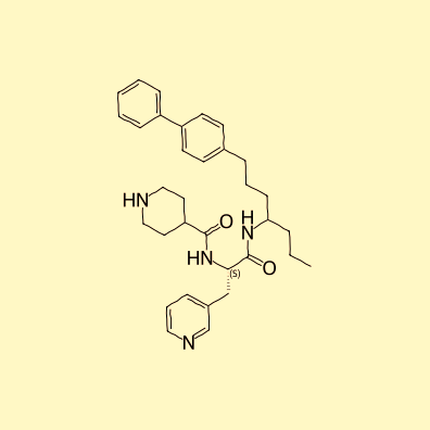 CCCC(CCCc1ccc(-c2ccccc2)cc1)NC(=O)[C@H](Cc1cccnc1)NC(=O)C1CCNCC1